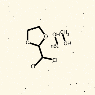 CCCCO.CO.ClC(Cl)C1OCCO1